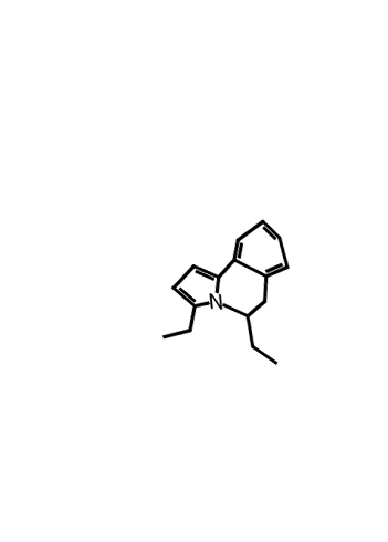 CCc1ccc2n1C(CC)Cc1ccccc1-2